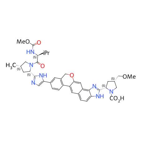 COC[C@H]1C[C@@H](c2nc3c(ccc4cc5c(cc43)OCc3cc(-c4cnc([C@@H]6C[C@H](C)CN6C(=O)[C@@H](NC(=O)OC)C(C)C)[nH]4)ccc3-5)[nH]2)N(C(=O)O)C1